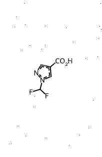 O=C(O)c1cnn(C(F)F)c1